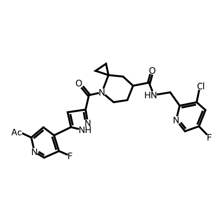 CC(=O)c1cc(-c2cc(C(=O)N3CCC(C(=O)NCc4ncc(F)cc4Cl)CC34CC4)n[nH]2)c(F)cn1